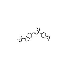 CON=C1CCc2cc(C=CC(=O)c3ccc(OC)cc3)ccc21